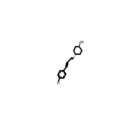 CCC[C@H]1CC[C@H](C=CC#Cc2ccc(Cl)cc2)CC1